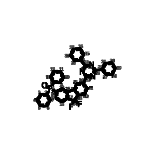 O=P(c1ccccc1)(c1ccccc1)c1ccc2c(c1)-c1cc(-c3nc(-c4ccccc4)nc(-c4ccccc4)n3)ccc1C2(F)F